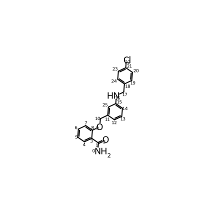 NC(=O)c1ccccc1OCc1cccc(NCc2ccc(Cl)cc2)c1